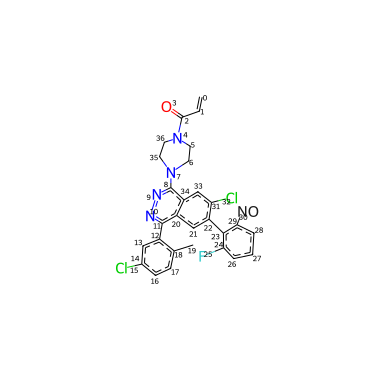 C=CC(=O)N1CCN(c2nnc(-c3cc(Cl)ccc3C)c3cc(-c4c(F)cccc4N=O)c(Cl)cc23)CC1